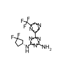 Nc1nc(N[C@@H]2CCC(F)(F)C2)nc(-c2cncc(C(F)(F)F)n2)n1